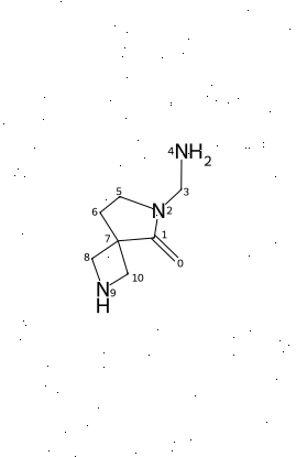 C=C1N(CN)CCC12CNC2